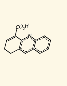 O=C(O)C1=CCCc2cc3ccccc3nc21